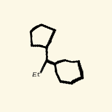 CC[C](C1CCCCC1)C1CCCCC1